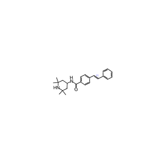 CC1(C)CC(NC(=O)c2ccc(/C=C/c3ccccc3)cc2)CC(C)(C)N1